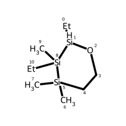 CC[SiH]1OCC[Si](C)(C)[Si]1(C)CC